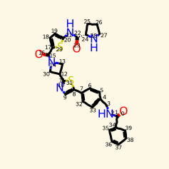 O=C(NCc1ccc(-c2cnc(C3CN(C(=O)c4ccc(NC(=O)[C@@H]5CCCN5)s4)C3)s2)cc1)c1ccccc1